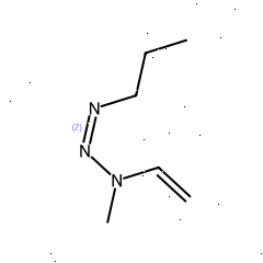 C=CN(C)/N=N\CCC